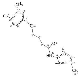 Cc1cc(OCCCC(=O)Nc2ncc(C(F)(F)F)s2)ccc1Cl